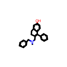 CN(CC1=C(c2ccccc2)c2ccc(O)cc2CC1)Cc1ccccc1